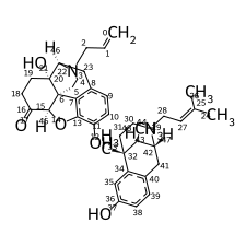 C=CCN1CC[C@]23c4c5ccc(O)c4O[C@H]2C(=O)CC[C@@]3(O)[C@H]1C5.CC(C)=CCN1CC[C@@]2(C)c3cc(O)ccc3C[C@@H]1[C@@H]2C